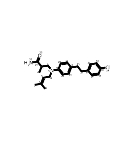 C[C](CN(CC=C(C)C)c1ccc(CCc2ccc(Cl)cc2)cc1)C(N)=O